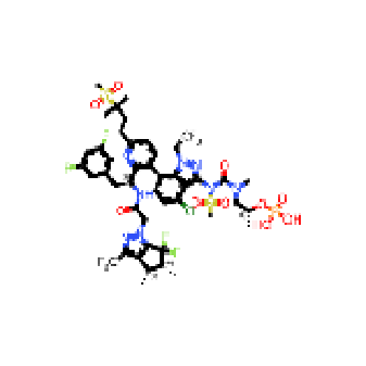 C[C@H](CN(C)C(=O)N(c1nn(CC(F)(F)F)c2c(-c3ccc(CCC(C)(C)S(C)(=O)=O)nc3[C@H](Cc3cc(F)cc(F)c3)NC(=O)Cn3nc(C(F)(F)F)c4c3C(F)(F)[C@H](C)[C@@H]4C)ccc(Cl)c12)S(C)(=O)=O)OP(=O)(O)O